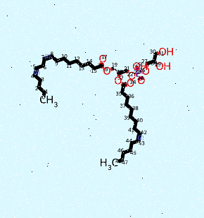 CCCC/C=C\C/C=C\CCCCCCCC(=O)OC[C@H](COP(=O)(O)OC[C@@H](O)CO)OC(=O)CCCCCCC/C=C\CCCCC